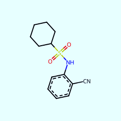 N#Cc1ccccc1NS(=O)(=O)C1CCCCC1